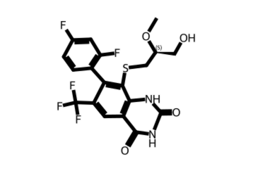 CO[C@@H](CO)CSc1c(-c2ccc(F)cc2F)c(C(F)(F)F)cc2c(=O)[nH]c(=O)[nH]c12